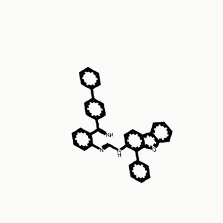 N=C(c1ccc(-c2ccccc2)cc1)c1ccccc1/N=C/Nc1ccc2c(oc3ccccc32)c1-c1ccccc1